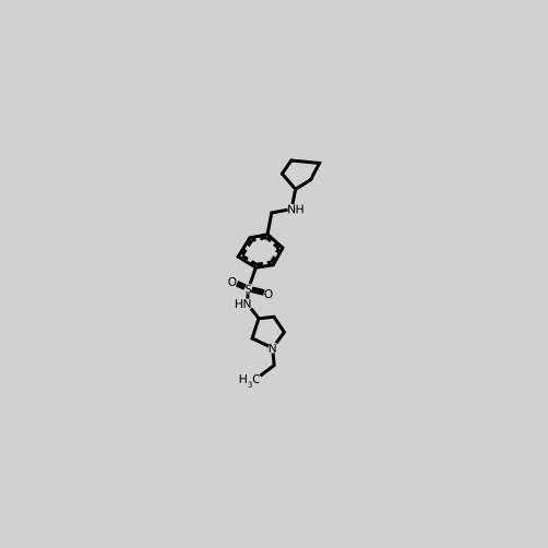 CCN1CCC(NS(=O)(=O)c2ccc(CNC3CCCC3)cc2)C1